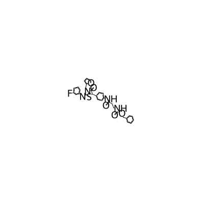 O=C(CCNC(=O)OCc1ccccc1)Nc1ccc(C2SC(=Nc3cccc(F)c3)N(Cc3ccco3)C2=O)cc1